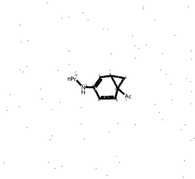 CCCNC1=CC2CC2(C(C)=O)C=C1